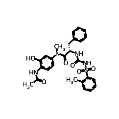 CC(=O)Nc1ccc(N(C)C(=O)[C@H](Cc2ccccc2)NC(=O)NS(=O)(=O)c2ccccc2C)cc1O